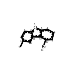 Cc1ccc2oc3cccc(Br)c3c2c1